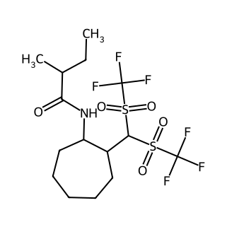 CCC(C)C(=O)NC1CCCCCC1C(S(=O)(=O)C(F)(F)F)S(=O)(=O)C(F)(F)F